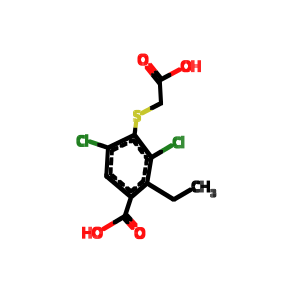 CCc1c(C(=O)O)cc(Cl)c(SCC(=O)O)c1Cl